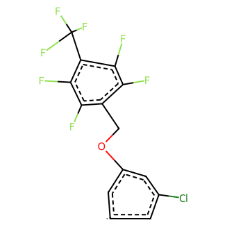 Fc1c(F)c(C(F)(F)F)c(F)c(F)c1COc1c[c]cc(Cl)c1